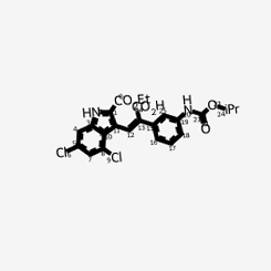 CCOC(=O)c1[nH]c2cc(Cl)cc(Cl)c2c1/C=C(\C(=O)O)c1cccc(NC(=O)OC(C)C)c1